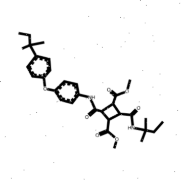 CCC(C)(C)NC(=O)C1C(C(=O)OC)C(C(=O)Nc2ccc(Oc3ccc(C(C)(C)CC)cc3)cc2)C1C(=O)OC